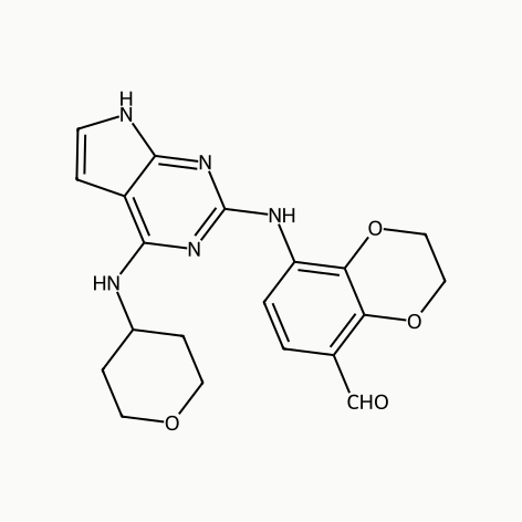 O=Cc1ccc(Nc2nc(NC3CCOCC3)c3cc[nH]c3n2)c2c1OCCO2